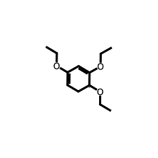 CCO[C]1CC=C(OCC)C=C1OCC